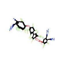 N#Cc1c(F)c(F)c(Oc2c(F)c(F)c(-c3c(F)c(F)c(Oc4c(F)c(F)c(C#N)c(C#N)c4F)c(F)c3F)c(F)c2F)c(F)c1C#N